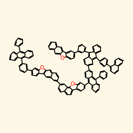 c1ccc(-c2c3ccccc3c(-c3cccc(-c4ccc5c(c4)oc4cc6ccc(-c7ccc8ccc9c%10ccc(-c%11c%12ccccc%12c(-c%12ccccc%12)c%12cc(-c%13ccc%14c(-c%15cccc(-c%16ccc%17oc%18cc%19ccccc%19cc%18c%17c%16)c%15)c%15ccccc%15c(-c%15ccc(-c%16cccc%17ccccc%16%17)cc%15)c%14c%13)ccc%11%12)cc%10oc9c8c7)cc6cc45)c3)c3ccccc23)cc1